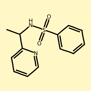 CC(NS(=O)(=O)c1ccccc1)c1ccccn1